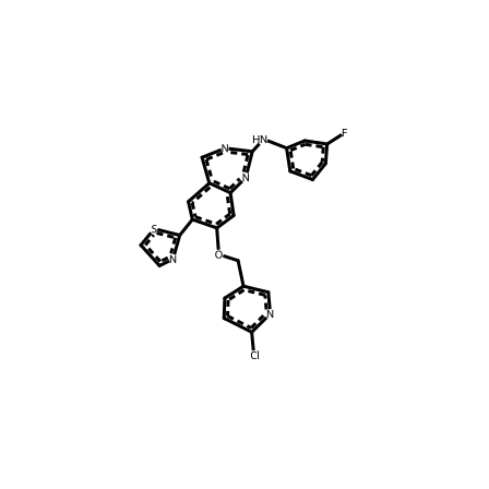 Fc1cccc(Nc2ncc3cc(-c4nccs4)c(OCc4ccc(Cl)nc4)cc3n2)c1